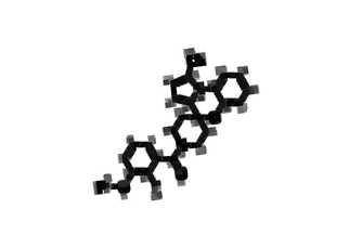 CC(C)Oc1cccc(C(=O)N2CCC3(CC2)Oc2ccccc2-n2c(C#N)ccc23)c1F